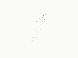 CC[C@@H]1CC[C@H](C(=O)NC(c2ccc(C(F)(F)F)cc2F)C2CC2)N1C(=O)c1ccc(S(C)(=O)=O)nc1